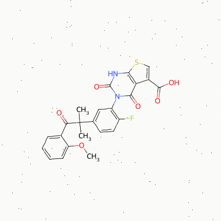 COc1ccccc1C(=O)C(C)(C)c1ccc(F)c(-n2c(=O)[nH]c3scc(C(=O)O)c3c2=O)c1